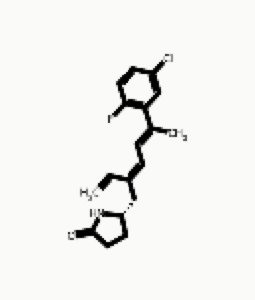 C=C/C(=C\C=C(/C)c1cc(Cl)ccc1F)C[C@@H]1CCC(=O)N1